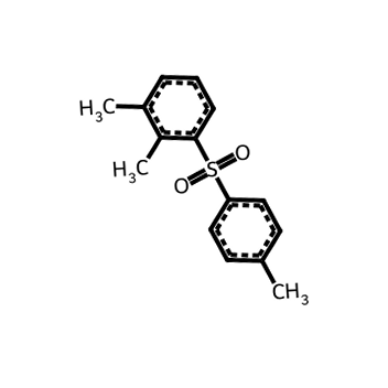 Cc1ccc(S(=O)(=O)c2cccc(C)c2C)cc1